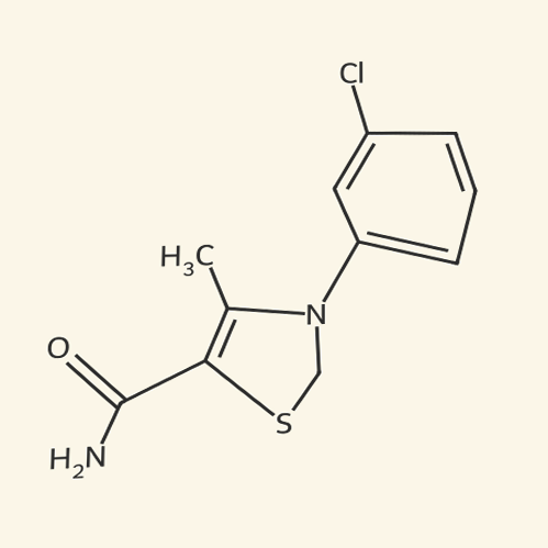 CC1=C(C(N)=O)SCN1c1cccc(Cl)c1